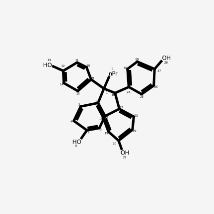 CCCC(c1ccc(O)cc1)(c1ccc(O)cc1)C(c1ccc(O)cc1)c1ccc(O)cc1